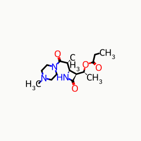 CCC(=O)O[C@H](C)[C@H]1C(=O)N[C@@H]1[C@@H](C)C(=O)N1CCN(C)CC1